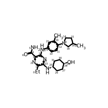 CCc1nc(C(N)=O)c(Nc2ccc(N3CCC(C)C3)c(C)c2)nc1N[C@H]1CC[C@H](O)CC1